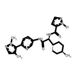 CCn1nccc1C(=O)N[C@H](C(=O)Nc1ccc(-c2c(C)cnn2C)nc1)[C@H]1CC[C@H](C)CC1